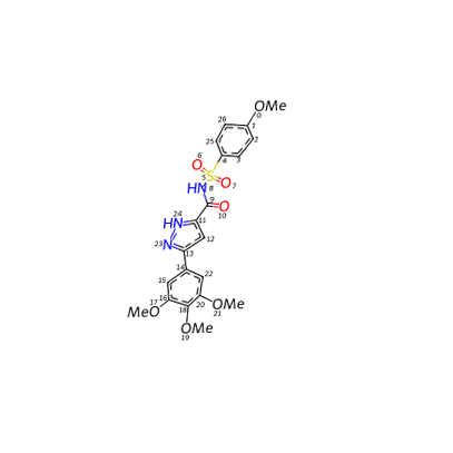 COc1ccc(S(=O)(=O)NC(=O)c2cc(-c3cc(OC)c(OC)c(OC)c3)n[nH]2)cc1